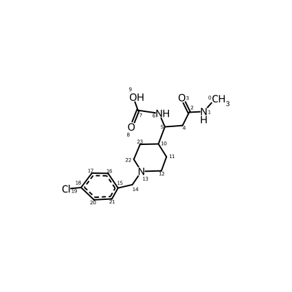 CNC(=O)CC(NC(=O)O)C1CCN(Cc2ccc(Cl)cc2)CC1